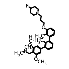 COc1cc(-c2cccc(-c3cccc(OCCCN4CCC(F)CC4)c3C)c2C)cc(OC)c1CN(C)C